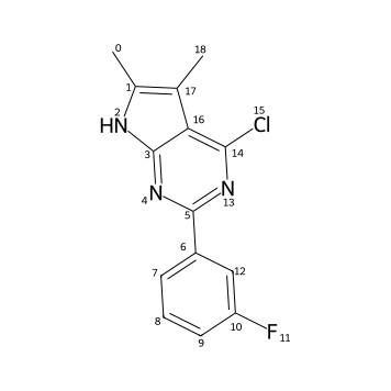 Cc1[nH]c2nc(-c3cccc(F)c3)nc(Cl)c2c1C